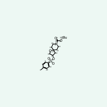 Cc1ccc(S(=O)(=O)O[C@H]2COC3(CCN(C(=O)OC(C)(C)C)CC3)C2)cc1